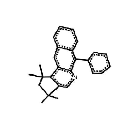 CC1(C)CC(C)(C)c2c1cnc1c(-c3ccccc3)c3ccccc3cc21